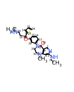 CCNc1cc2c(cn1)C(=O)N(c1cccc(O[C@@H](CCNC)c3cccs3)c1)CCN2C